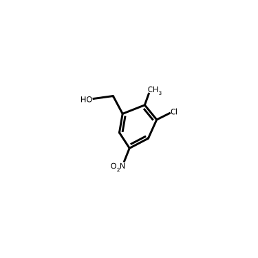 Cc1c(Cl)cc([N+](=O)[O-])cc1CO